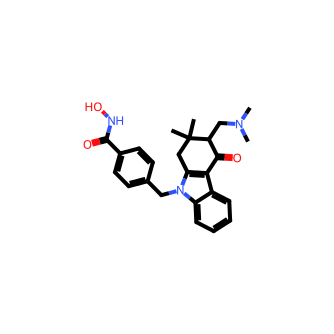 CN(C)CC1C(=O)c2c(n(Cc3ccc(C(=O)NO)cc3)c3ccccc23)CC1(C)C